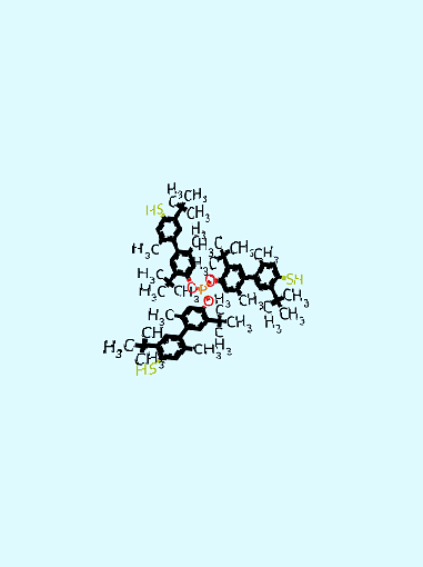 Cc1cc(S)c(C(C)(C)C)cc1-c1cc(C(C)(C)C)c(OP(Oc2cc(C)c(-c3cc(C(C)(C)C)c(S)cc3C)cc2C(C)(C)C)Oc2cc(C)c(-c3cc(C(C)(C)C)c(S)cc3C)cc2C(C)(C)C)cc1C